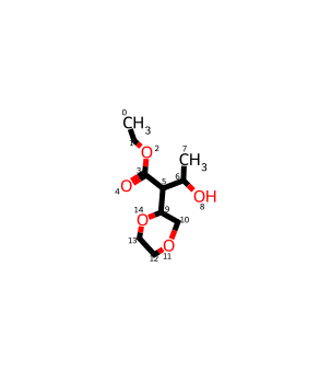 CCOC(=O)C(C(C)O)C1COCCO1